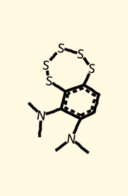 CN(C)c1ccc2c(c1N(C)C)SSSSS2